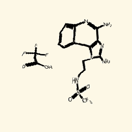 CCCCc1nc2c(N)nc3ccccc3c2n1CCNS(=O)(=O)C(F)(F)F.O=C(O)C(F)(F)F